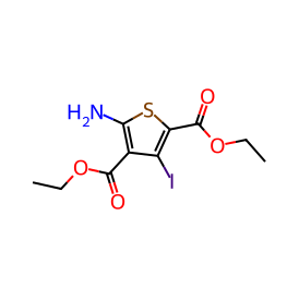 CCOC(=O)c1sc(N)c(C(=O)OCC)c1I